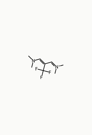 CN(C)C=C(C=[N+](C)C)C(F)(F)F